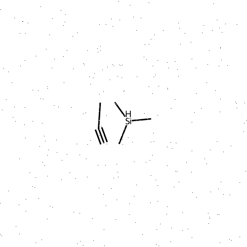 C#CC.C[SiH](C)C